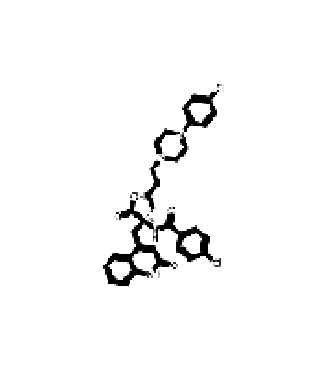 O=C(N[C@@](CCCCN1CCN(c2ccc(Cl)cc2)CC1)(Cc1cc(=O)[nH]c2ccccc12)C(=O)O)c1ccc(Cl)cc1